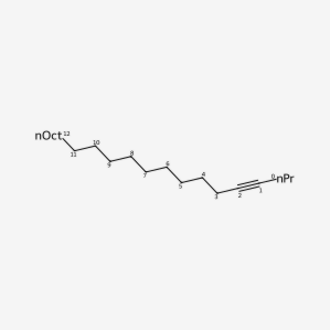 [CH2]CCC#CCCCCCCCCCCCCCCCC[CH2]